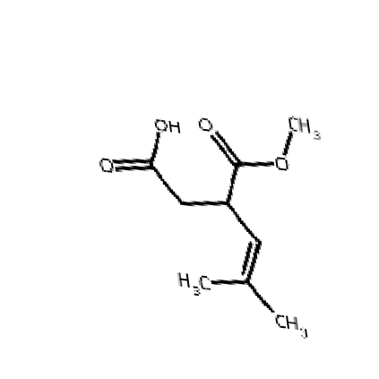 COC(=O)C(C=C(C)C)CC(=O)O